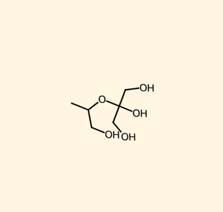 CC(CO)OC(O)(CO)CO